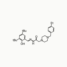 CCc1ccc(CN2CCN(CC(=O)NN=Cc3cc(C(C)(C)C)cc(C(C)(C)C)c3O)CC2)cc1